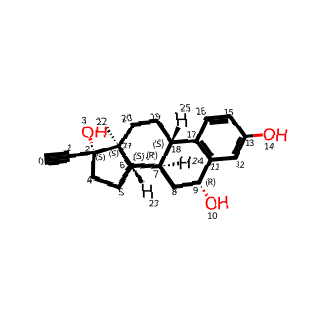 C#C[C@]1(O)CC[C@H]2[C@@H]3C[C@@H](O)c4cc(O)ccc4[C@H]3CC[C@@]21C